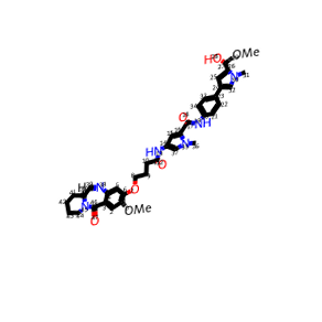 COc1cc2c(cc1OCCCC(=O)Nc1cc(C(=O)Nc3ccc(-c4cc(C(O)OC)n(C)c4)cc3)n(C)c1)N=C[C@@H]1CCCCN1C2=O